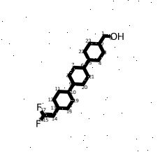 OCC1CCC(C2CCC(C3CCC(C=C(F)F)CC3)CC2)CC1